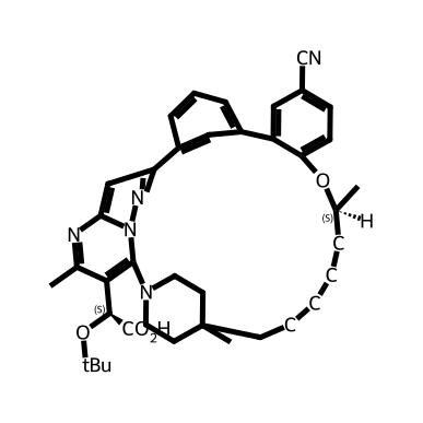 Cc1nc2cc3nn2c(c1[C@H](OC(C)(C)C)C(=O)O)N1CCC(C)(CCCCC[C@H](C)Oc2ccc(C#N)cc2-c2cccc-3c2)CC1